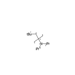 CC(C)N(C(C)C)C(C)(C)CC(C)(C)C